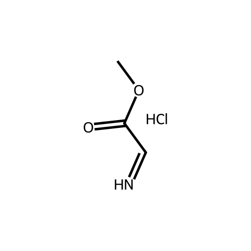 COC(=O)C=N.Cl